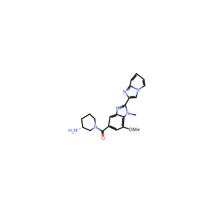 COc1cc(C(=O)N2CCC[C@@H](N)C2)cc2nc(-c3cn4ccccc4n3)n(C)c12